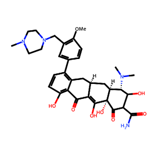 COc1ccc(-c2ccc(O)c3c2C[C@H]2C[C@H]4[C@H](N(C)C)C(O)C(C(N)=O)C(=O)[C@@]4(O)C(O)=C2C3=O)cc1CN1CCN(C)CC1